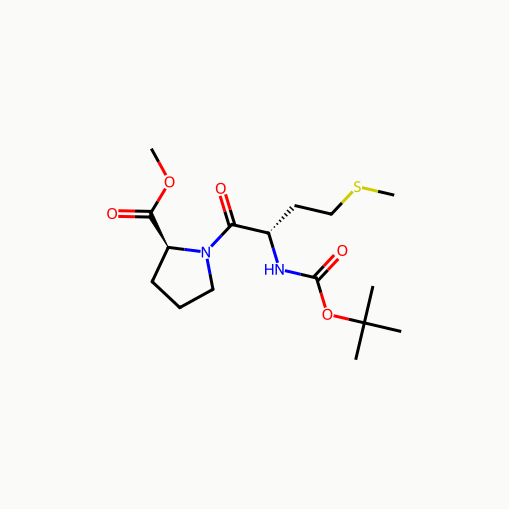 COC(=O)[C@@H]1CCCN1C(=O)[C@H](CCSC)NC(=O)OC(C)(C)C